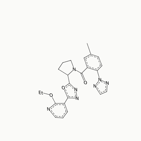 CCOc1ncccc1-c1nnc(C2CCCN2C(=O)c2cc(C)ccc2-n2nccn2)o1